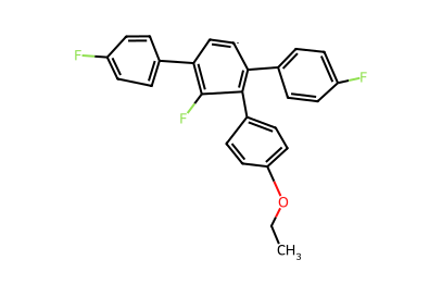 CCOc1ccc(-c2c(-c3ccc(F)cc3)[c]cc(-c3ccc(F)cc3)c2F)cc1